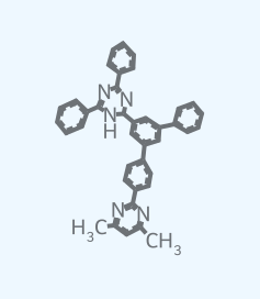 Cc1cc(C)nc(-c2ccc(-c3cc(-c4ccccc4)cc(C4N=C(c5ccccc5)N=C(c5ccccc5)N4)c3)cc2)n1